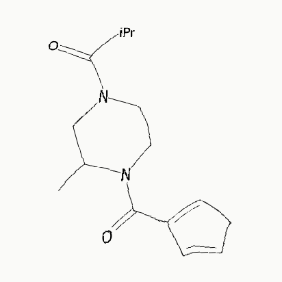 CC(C)C(=O)N1CCN(C(=O)C2=CCC=C2)C(C)C1